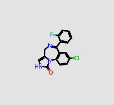 O=c1[nH]cc2n1-c1ccc(Cl)cc1C(c1ccccc1F)=NC2